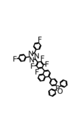 O=P(c1ccccc1)(c1ccccc1)c1ccc(-c2ccc(-c3c(F)c(F)c(-c4nc(-c5ccc(F)cc5)nc(-c5ccc(F)cc5)n4)c(F)c3F)c3ccccc23)cc1